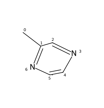 Cc1cnc[c]n1